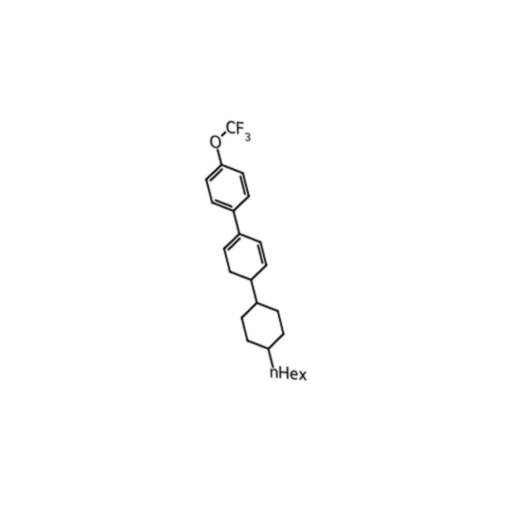 CCCCCCC1CCC(C2C=CC(c3ccc(OC(F)(F)F)cc3)=CC2)CC1